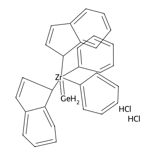 Cl.Cl.[GeH2]=[Zr]([c]1ccccc1)([c]1ccccc1)([CH]1C=Cc2ccccc21)[CH]1C=Cc2ccccc21